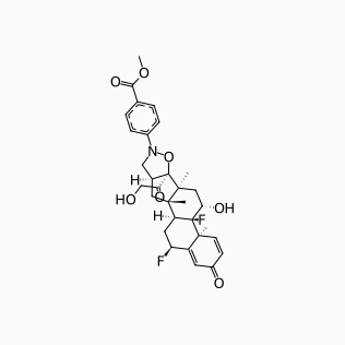 COC(=O)c1ccc(N2C[C@@H]3C[C@@]4(C)[C@@H]5C[C@H](F)C6=CC(=O)C=C[C@]6(C)[C@@]5(F)[C@@H](O)C[C@]4(C)[C@]3(C(=O)CO)O2)cc1